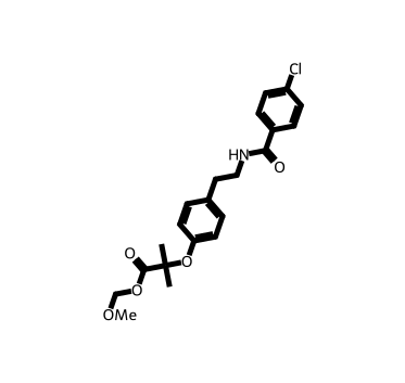 COCOC(=O)C(C)(C)Oc1ccc(CCNC(=O)c2ccc(Cl)cc2)cc1